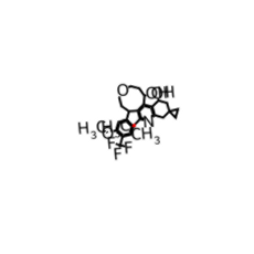 COc1cc(C2CCOCCC(O)c3c4c(nc(C(C)C)c32)CC2(CC2)CC4O)ccc1C(F)(F)F